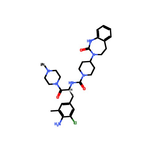 Cc1cc(C[C@@H](NC(=O)N2CCC(N3CCc4ccccc4NC3=O)CC2)C(=O)N2CCN(C(C)C)CC2)cc(Cl)c1N